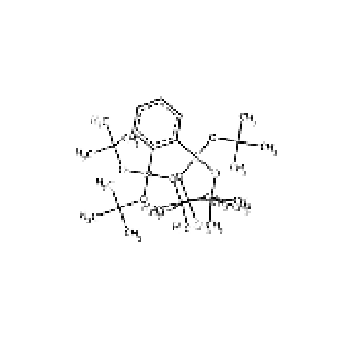 CC(C)(C)O[Si](OC(C)(C)C)(OC(C)(C)C)c1ccccc1[Si](OC(C)(C)C)(OC(C)(C)C)OC(C)(C)C